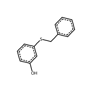 Oc1cccc(SCc2ccccc2)c1